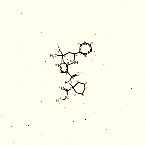 COC(=O)C1(NC(=O)c2cnn3c2NC(c2ccccc2)CC3(C)C)CCCCC1